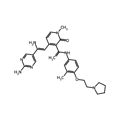 C=C(Nc1ccc(OCCN2CCCC2)c(C)c1)c1c(/C=C(\N)c2cnc(N)nc2)ccn(C)c1=O